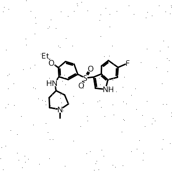 CCOc1ccc(S(=O)(=O)c2c[nH]c3cc(F)ccc23)cc1NC1CCN(C)CC1